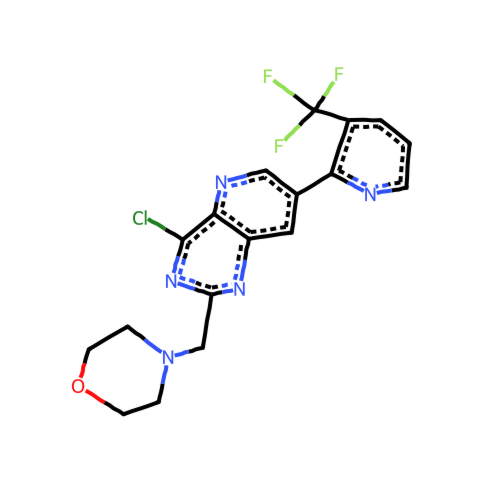 FC(F)(F)c1cccnc1-c1cnc2c(Cl)nc(CN3CCOCC3)nc2c1